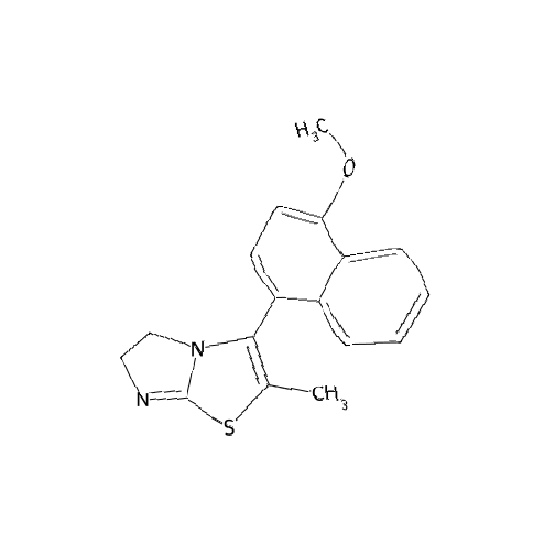 COc1ccc(C2=C(C)SC3=NCCN32)c2ccccc12